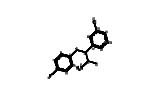 CC(N)C(Cc1ccc(F)cc1)c1cncc(Cl)c1